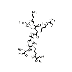 CC(C)(NC(=O)[C@H](CCCNC(N)=O)NC(=O)[C@H](CCCCN)NC(=O)[C@@H](N)CS)C(=O)N[C@@H](CCCNC(=N)N)C(=O)N[C@@H](CS)C(=O)O